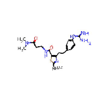 CC(=O)Nc1nc(CCc2ccc(NC(=N)N)cc2)c(C(=O)NCCC(=O)N(C)C)s1